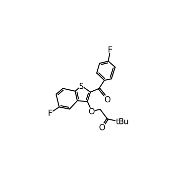 CC(C)(C)C(=O)COc1c(C(=O)c2ccc(F)cc2)sc2ccc(F)cc12